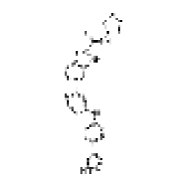 O=C(NC1CCOC1)c1cc2ccc(-c3nccc(Nc4ccc(-c5cn[nH]c5)cc4)n3)cc2[nH]1